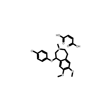 COc1cc2c(cc1OC)C(Oc1ccc(Cl)cc1)CN(C)CC2.O=C(O)/C=C\C(=O)O